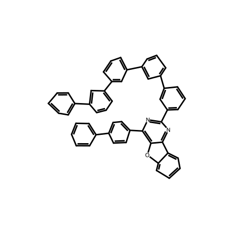 c1ccc(-c2ccc(-c3nc(-c4cccc(-c5cccc(-c6cccc(-c7cccc(-c8ccccc8)c7)c6)c5)c4)nc4c3oc3ccccc34)cc2)cc1